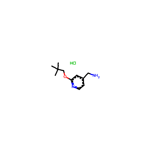 CC(C)(C)COc1cc(CN)ccn1.Cl